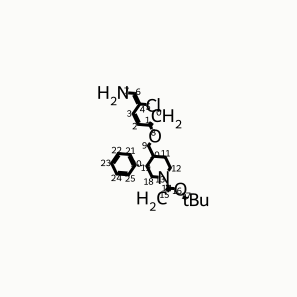 C=C(/C=C\C(Cl)=C/N)OCC1CCN(C(=C)OC(C)(C)C)C[C@@H]1c1ccccc1